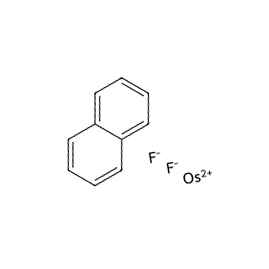 [F-].[F-].[Os+2].c1ccc2ccccc2c1